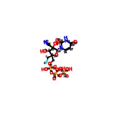 N#C[C@@]1(O)[C@H](O)[C@@](CF)(COP(=O)(O)OP(=O)(O)OP(=O)(O)O)O[C@H]1n1ccc(=O)[nH]c1=O